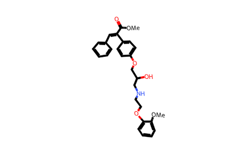 COC(=O)C(=Cc1ccccc1)c1ccc(OCC(O)CNCCOc2ccccc2OC)cc1